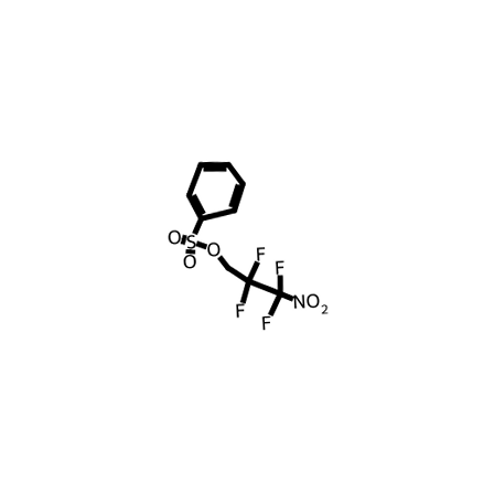 O=[N+]([O-])C(F)(F)C(F)(F)COS(=O)(=O)c1ccccc1